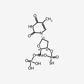 COP(=O)(S)O[C@@H]1C[C@@H](n2cc(C)c(=O)[nH]c2=O)O[C@@H]1COP(=O)(O)O